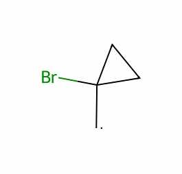 [CH2]C1(Br)CC1